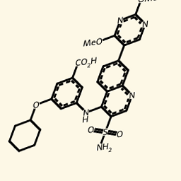 COc1ncc(-c2ccc3c(Nc4cc(OC5CCCCC5)cc(C(=O)O)c4)c(S(N)(=O)=O)cnc3c2)c(OC)n1